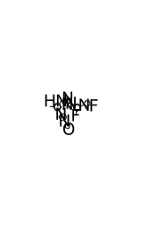 Cc1cc(Nc2ncn(-c3cc(F)cc(N4CCC(F)C4)c3)n2)cc(N2CCN(C3COC3)CC2)c1